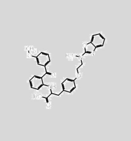 COc1cccc(C(=O)c2ccccc2NC(Cc2ccc(OCCN(C)c3nc4ccccc4o3)cc2)C(=O)O)c1